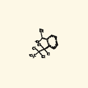 CCC([O])c1ccccc1C(Cl)(Cl)C(Cl)(Cl)C(Cl)(Cl)Cl